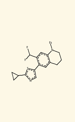 CCN1CCCc2cc(-c3cnc(C4CC4)s3)c(C(F)F)cc21